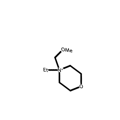 CC[N+]1(COC)CCOCC1